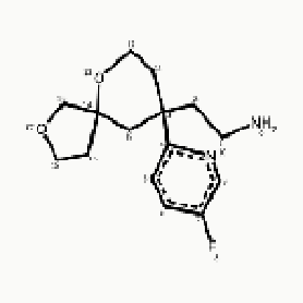 NCCC1(c2ccc(F)cn2)CCOC2(CCOC2)C1